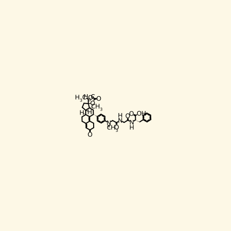 CC(=O)O[C@]1(C(C)=O)CC[C@H]2[C@@H]3CCC4=CC(=O)CCC4=C3[C@@H](c3ccc(N(C)CC(=O)NCC(=O)N[C@@H](Cc4ccccc4)C(=O)O)cc3)C[C@@]21C